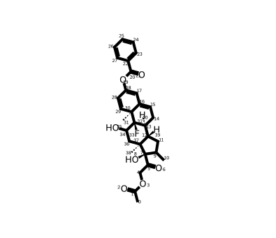 CC(=O)OCC(=O)[C@@]1(O)C(C)C[C@H]2[C@@H]3CC=C4C=C(OC(=O)c5ccccc5)C=C[C@]4(C)[C@@]3(F)C(O)C[C@@]21C